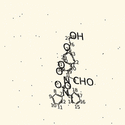 O=C/C(=N\OC(=O)N(c1ccccc1)c1ccccc1)c1cc2ccc(OCCO)cc2oc1=O